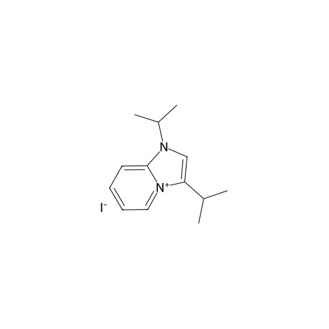 CC(C)c1cn(C(C)C)c2cccc[n+]12.[I-]